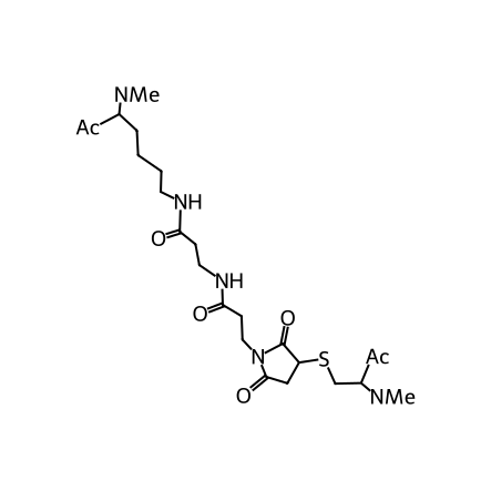 CNC(CCCCNC(=O)CCNC(=O)CCN1C(=O)CC(SCC(NC)C(C)=O)C1=O)C(C)=O